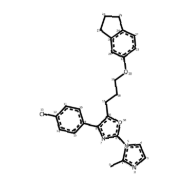 Cc1nccn1-c1nc(-c2ccc(Cl)cc2)c(CCCOc2ccc3c(c2)CCC3)o1